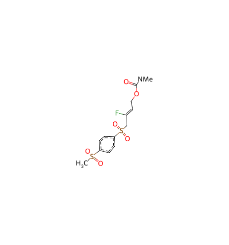 CNC(=O)OC/C=C(\F)CS(=O)(=O)c1ccc(S(C)(=O)=O)cc1